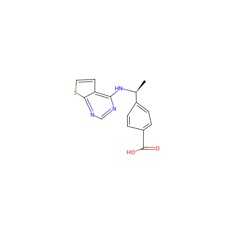 C[C@H](Nc1ncnc2sccc12)c1ccc(C(=O)O)cc1